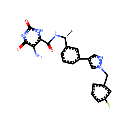 C[C@@H](NC(=O)c1[nH]c(=O)[nH]c(=O)c1N)c1cccc(-c2cnn(Cc3cccc(F)c3)c2)c1